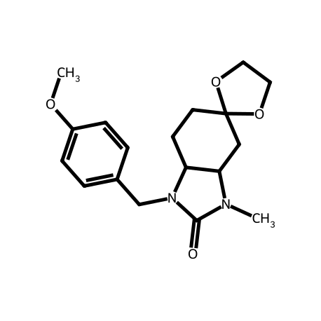 COc1ccc(CN2C(=O)N(C)C3CC4(CCC32)OCCO4)cc1